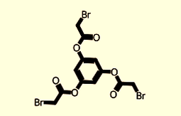 O=C(CBr)Oc1cc(OC(=O)CBr)cc(OC(=O)CBr)c1